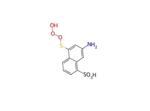 Nc1cc(SOOO)c2cccc(S(=O)(=O)O)c2c1